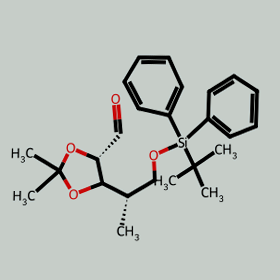 C[C@@H](CO[Si](c1ccccc1)(c1ccccc1)C(C)(C)C)C1OC(C)(C)O[C@@H]1C=O